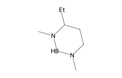 CCC1CCN(C)BN1C